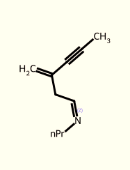 C=C(C#CC)C/C=N\CCC